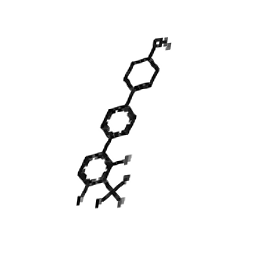 CC1CC=C(c2ccc(-c3ccc(F)c(C(F)(F)F)c3F)cc2)CC1